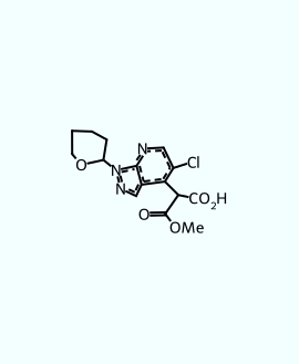 COC(=O)C(C(=O)O)c1c(Cl)cnc2c1cnn2C1CCCCO1